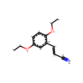 CCOc1ccc(OCC)c(C=CC#N)c1